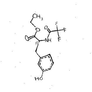 CCOC(=O)[C@H](Cc1cccc(O)c1)NC(=O)C(F)(F)F